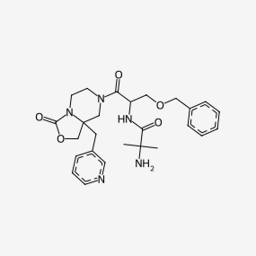 CC(C)(N)C(=O)NC(COCc1ccccc1)C(=O)N1CCN2C(=O)OCC2(Cc2cccnc2)C1